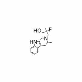 CC1Cc2c([nH]c3ccccc23)CN1CC(C)(F)CO